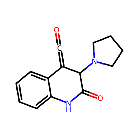 O=C=C1c2ccccc2NC(=O)C1N1CCCC1